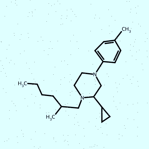 CCCCC(C)CN1CCN(c2ccc(C)cc2)CC1C1CC1